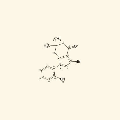 CC1(C)CC(=O)c2c(Br)cn(-c3ccccc3C#N)c2C1